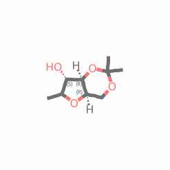 CC1O[C@@H]2COC(C)(C)O[C@@H]2[C@H]1O